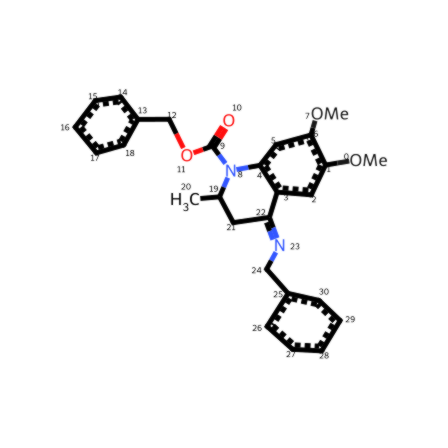 COc1cc2c(cc1OC)N(C(=O)OCc1ccccc1)C(C)CC2=NCc1ccccc1